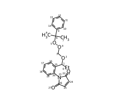 CCC(OCOOC(C)(C)c1ccccc1)c1ccccc1N1C(=O)C=CC1=O